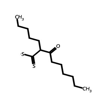 CCCCCCC(=O)C(CCCCC)C([S])=S